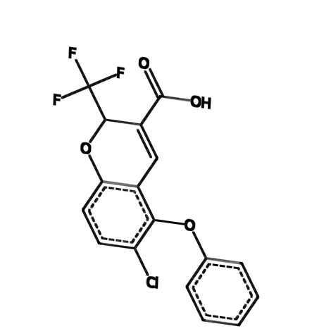 O=C(O)C1=Cc2c(ccc(Cl)c2Oc2ccccc2)OC1C(F)(F)F